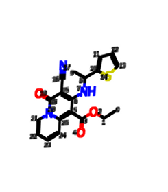 CCOC(=O)c1c(NC(C)c2cccs2)c(C#N)c(=O)n2ccccc12